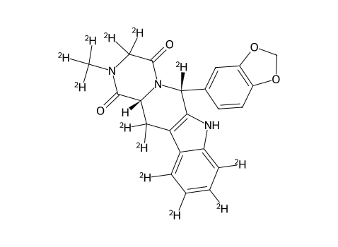 [2H]c1c([2H])c([2H])c2c3c([nH]c2c1[2H])[C@@]([2H])(c1ccc2c(c1)OCO2)N1C(=O)C([2H])([2H])N(C([2H])([2H])[2H])C(=O)[C@H]1C3([2H])[2H]